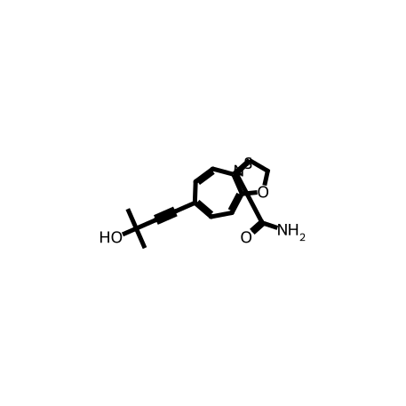 CC(C)(O)C#CC1=CC=C2OCC3CSC(C(N)=O)=NC23C=C1